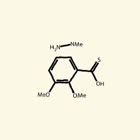 CNN.COc1cccc(C(O)=S)c1OC